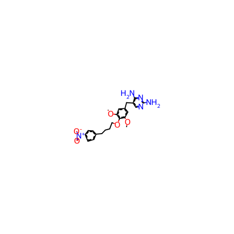 COc1cc(Cc2cnc(N)nc2N)cc(OC)c1OCCCCc1ccc([N+](=O)[O-])cc1